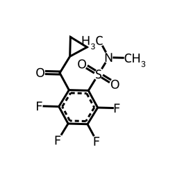 CN(C)S(=O)(=O)c1c(F)c(F)c(F)c(F)c1C(=O)C1CC1